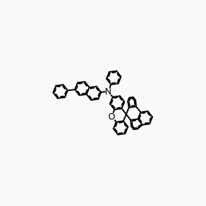 c1ccc(-c2ccc3cc(N(c4ccccc4)c4ccc5c(c4)Oc4ccccc4C54c5ccccc5-c5cccc6cccc4c56)ccc3c2)cc1